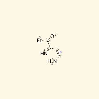 CCC(=O)C(=N)/C=C\N